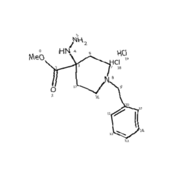 COC(=O)C1(NN)CCN(Cc2ccccc2)CC1.Cl.Cl